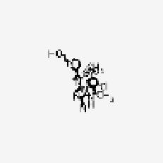 CC(Nc1nc(N2CC(C3CCCN(CCO)C3)C2)cnc1C#N)c1ccc(S(C)(=O)=O)cc1Cl